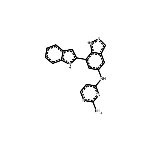 Nc1nccc(Nc2cc(-c3cc4ccccc4[nH]3)c3[nH]ncc3c2)n1